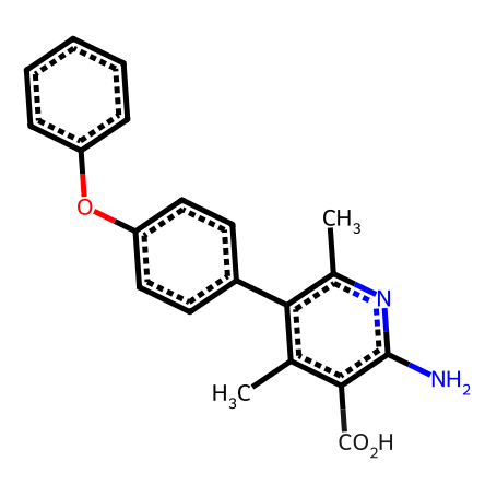 Cc1nc(N)c(C(=O)O)c(C)c1-c1ccc(Oc2ccccc2)cc1